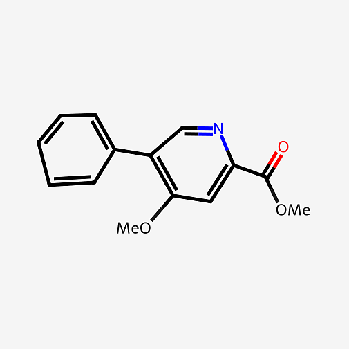 COC(=O)c1cc(OC)c(-c2ccccc2)cn1